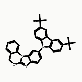 CC(C)(C)c1ccc2c(c1)c1cc(C(C)(C)C)ccc1n2-c1ccc2nc3n(c2c1)-c1ccccc1CO3